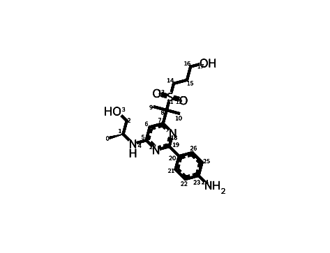 C[C@@H](CO)Nc1cc(C(C)(C)S(=O)(=O)CCCO)nc(-c2ccc(N)cc2)n1